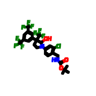 CC(C)(C)OC(=O)NCc1ccc(N2CCC(c3cc(C(F)(F)F)cc(C(F)(F)F)c3)(C(F)(F)F)C2O)cc1Cl